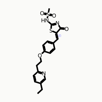 CCc1ccc(CCOc2ccc(/C=C3\SC(NS(C)(=O)=O)=NC3=O)cc2)nc1